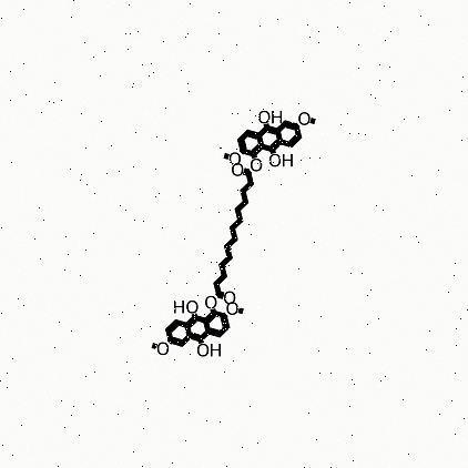 COc1ccc2c(O)c3c(OC(=O)CCCCCCCCCCCCC(=O)Oc4c(OC)ccc5c(O)c6cc(OC)ccc6c(O)c45)c(OC)ccc3c(O)c2c1